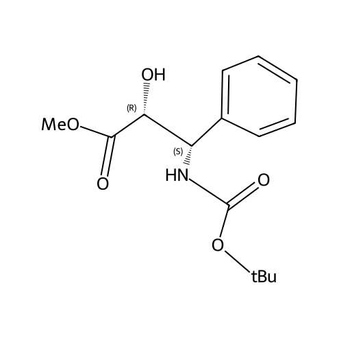 COC(=O)[C@H](O)[C@@H](NC(=O)OC(C)(C)C)c1ccccc1